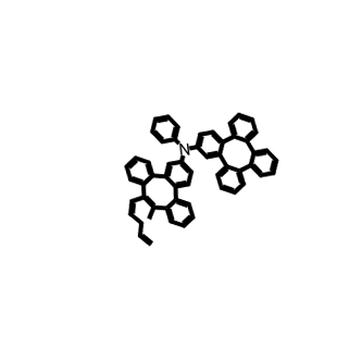 C=CC/C=C\C1=C(/C)c2ccccc2-c2ccc(N(c3ccccc3)c3ccc4c(c3)-c3ccccc3-c3ccccc3-c3ccccc3-4)cc2-c2ccccc21